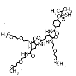 COCCOCCNC(=O)CCC(NC(=O)CCC(NC(=O)[C@H]1CC[C@@H](OP(=O)(S)C(C)C)CC1)C(=O)NCCOCCOC)C(=O)NCCOCCOC